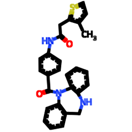 Cc1ccsc1CC(=O)Nc1ccc(C(=O)N2c3ccccc3CNc3ccccc32)cc1